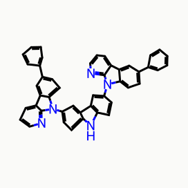 c1ccc(-c2ccc3c(c2)c2cccnc2n3-c2ccc3[nH]c4ccc(-n5c6ccc(-c7ccccc7)cc6c6cccnc65)cc4c3c2)cc1